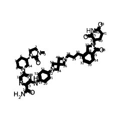 CN1CCN([C@@H]2CCCN(c3cnc(C(N)=O)c(Nc4ccc(N5CC6(CN(CCCc7cccc8c7CN(C7CCC(=O)NC7=O)C8=O)C6)C5)cc4)n3)C2)C1=O